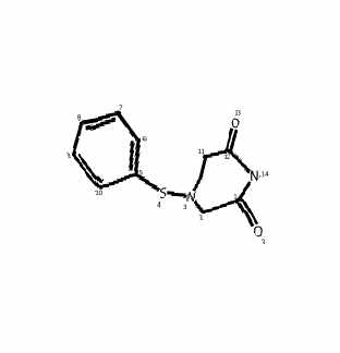 O=C1CN(Sc2ccccc2)CC(=O)[N]1